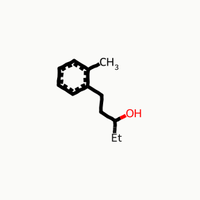 CCC(O)CCc1ccccc1C